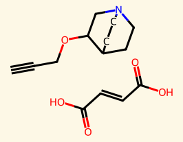 C#CCOC1CN2CCC1CC2.O=C(O)/C=C/C(=O)O